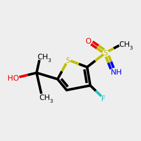 CC(C)(O)c1cc(F)c(S(C)(=N)=O)s1